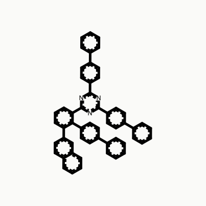 c1ccc(-c2ccc(-c3nc(-c4ccc(-c5ccccc5)cc4)nc(-c4cccc(-c5ccc6ccccc6c5)c4-c4ccc(-c5ccccc5)cc4)n3)cc2)cc1